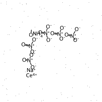 C[O-].O=[N+]([O-])[O-].O=[N+]([O-])[O-].O=[N+]([O-])[O-].O=[N+]([O-])[O-].O=[N+]([O-])[O-].[Ce+4].[NH4+].[Na+]